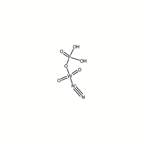 N#[N+][W](=[O])(=[O])[O]P(=O)(O)O